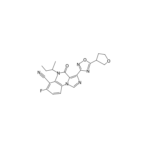 CCC(C)n1c(=O)c2c(-c3noc(C4CCOC4)n3)ncn2c2ccc(F)c(C#N)c21